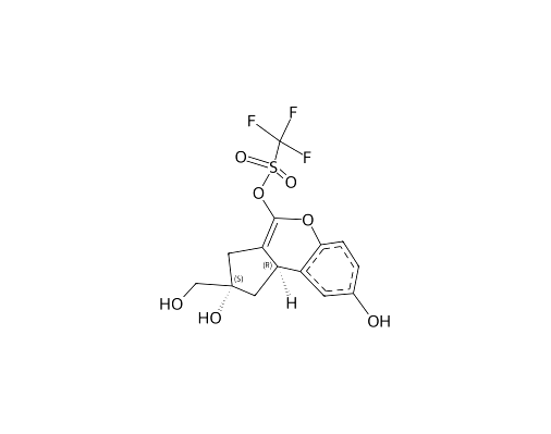 O=S(=O)(OC1=C2C[C@](O)(CO)C[C@@H]2c2cc(O)ccc2O1)C(F)(F)F